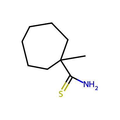 CC1(C(N)=S)CCCCCC1